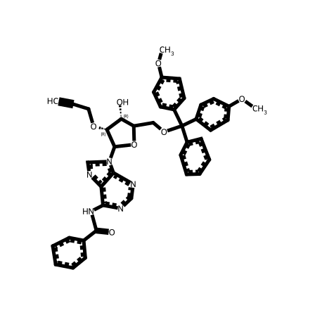 C#CCO[C@H]1C(n2cnc3c(NC(=O)c4ccccc4)ncnc32)OC(COC(c2ccccc2)(c2ccc(OC)cc2)c2ccc(OC)cc2)[C@H]1O